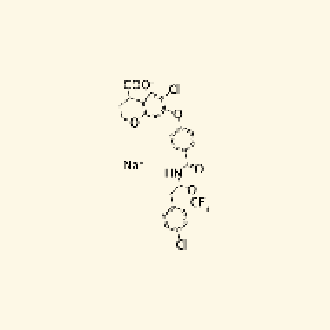 O=C(NC(Cc1ccc(Cl)cc1)OC(F)(F)F)c1ccc(Oc2cc3c(cc2Cl)C(C(=O)[O-])CCO3)cc1.[Na+]